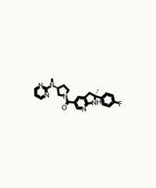 CN(c1ncccn1)[C@H]1CCN(C(=O)c2cnc3c(c2)C[C@@](C)(c2ccc(F)cc2)N3)C1